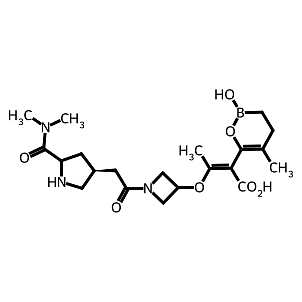 CC1=C(/C(C(=O)O)=C(\C)OC2CN(C(=O)C[C@H]3CNC(C(=O)N(C)C)C3)C2)OB(O)CC1